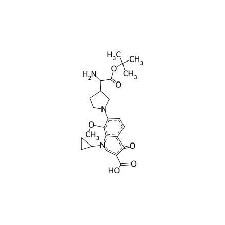 COc1c(N2CCC(C(N)C(=O)OC(C)(C)C)C2)ccc2c(=O)c(C(=O)O)cn(C3CC3)c12